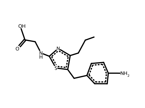 CCCc1nc(NCC(=O)O)sc1Cc1ccc(N)cc1